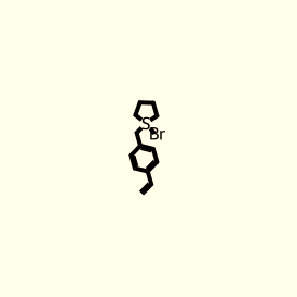 C=Cc1ccc(CS2(Br)CCCC2)cc1